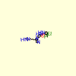 CC(F)(F)c1cc(NC(=O)Nc2ccc(-n3cc(CCCCN4CCNCC4)c4ccncc43)cc2)ccc1Cl